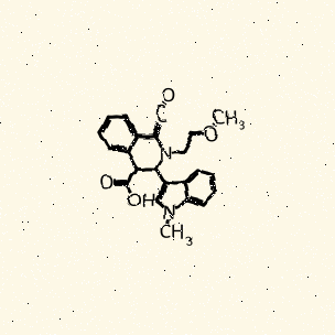 COCCN1C(=C=O)c2ccccc2C(C(=O)O)C1c1cn(C)c2ccccc12